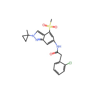 CC1(n2cc3c(S(C)(=O)=O)cc(NC(=O)Cc4ccccc4Cl)cc3n2)CC1